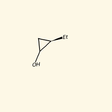 CC[C@@H]1CC1O